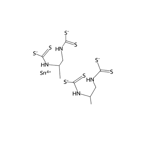 CC(CNC(=S)[S-])NC(=S)[S-].CC(CNC(=S)[S-])NC(=S)[S-].[Sn+4]